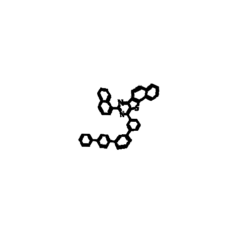 c1ccc(-c2ccc(-c3cccc(-c4cccc(-c5nc(-c6cccc7ccccc67)nc6c5sc5c7ccccc7ccc65)c4)c3)cc2)cc1